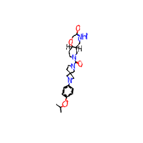 CC(C)Oc1ccc(N2CC3(CCN(C(=O)N4CC[C@@H]5OCC(=O)NC[C@@H]5C4)C3)C2)cc1